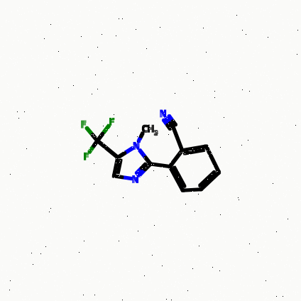 Cn1c(C(F)(F)F)cnc1-c1ccccc1C#N